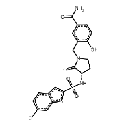 NC(=O)c1ccc(O)c(CN2CC[C@H](NS(=O)(=O)c3cc4ccc(Cl)cc4s3)C2=O)c1